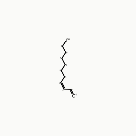 O=C/C=C\CCCCCCI